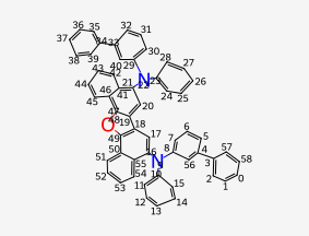 c1ccc(-c2cccc(N(c3ccccc3)c3cc4c5cc(N(c6ccccc6)c6cccc(-c7ccccc7)c6)c6ccccc6c5oc4c4ccccc34)c2)cc1